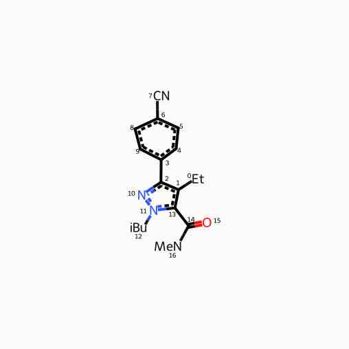 CCc1c(-c2ccc(C#N)cc2)nn(C(C)CC)c1C(=O)NC